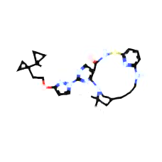 CC1(C)CC2CCCNc3cccc(n3)SNC(=O)c3cnc(-n4ccc(OCCC5(C6(C)CC6)CC5)n4)nc3N1C2